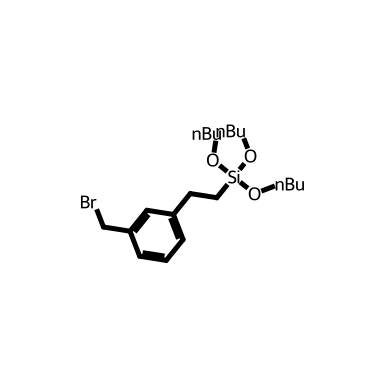 CCCCO[Si](CCc1cccc(CBr)c1)(OCCCC)OCCCC